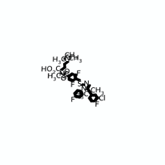 CN([C@@H](CCC[N+](C)(C)C)C(=O)O)S(=O)(=O)c1cc(F)c(CSc2ncc(C(C)(C)c3ccc(F)c(Cl)c3)n2-c2ccc(F)cc2)c(F)c1